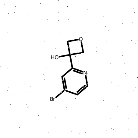 OC1(c2cc(Br)ccn2)COC1